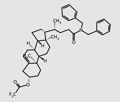 C[C@H](CCC(=O)N(Cc1ccccc1)Cc1ccccc1)[C@H]1CC[C@H]2[C@@H]3CC=C4C[C@@H](OC(=O)C(F)(F)F)CC[C@]4(C)[C@H]3CC[C@]12C